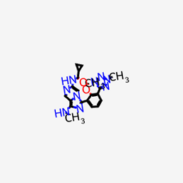 CNc1nc(-c2cccc(-c3nnn(C)n3)c2OC)n2cc(NC(=O)C3CC3)ncc12